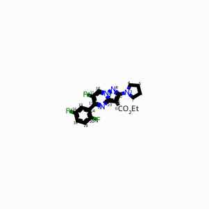 CCOC(=O)c1c(N2CCCC2)nn2cc(F)c(-c3cc(F)ccc3F)nc12